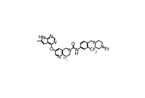 CCN1CCN(Cc2ccc(NC(=O)N3Cc4cc(Oc5ncnc6[nH]c(C)cc56)cnc4[C@@H](C)C3)cc2C(F)(F)F)CC1